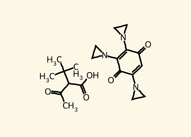 CC(=O)C(C(=O)O)C(C)(C)C.O=C1C=C(N2CC2)C(=O)C(N2CC2)=C1N1CC1